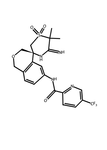 CC1(C)C(=N)N[C@@]2(COCc3ccc(NC(=O)c4ccc(C(F)(F)F)cn4)cc32)CS1(=O)=O